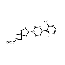 CCOC(=O)N1CC2(CC[C@@H](N3CCN(c4ncccc4C(C)=O)CC3)C2)C1